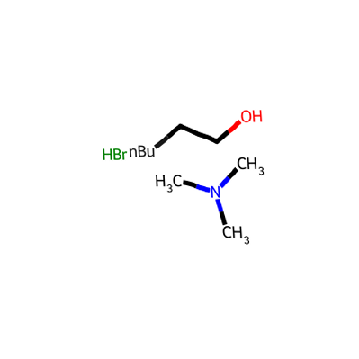 Br.CCCCCCO.CN(C)C